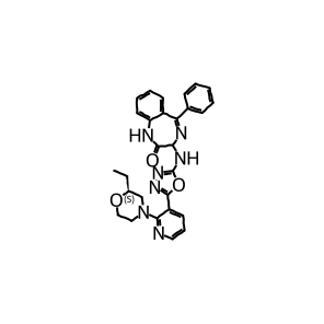 CC[C@H]1CN(c2ncccc2-c2nnc(NC3N=C(c4ccccc4)c4ccccc4NC3=O)o2)CCO1